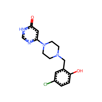 O=c1cc(N2CCN(Cc3cc(Cl)ccc3O)CC2)nc[nH]1